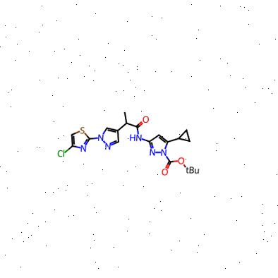 CC(C(=O)Nc1cc(C2CC2)n(C(=O)OC(C)(C)C)n1)c1cnn(-c2nc(Cl)cs2)c1